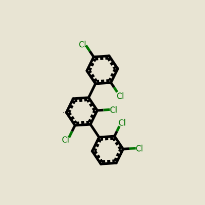 Clc1ccc(Cl)c(-c2c[c]c(Cl)c(-c3cccc(Cl)c3Cl)c2Cl)c1